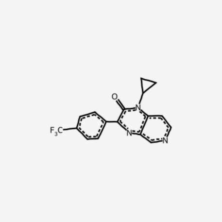 O=c1c(-c2ccc(C(F)(F)F)cc2)nc2cnccc2n1C1CC1